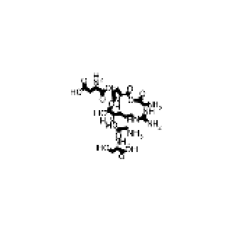 N=C(N)NCCC[C@H](N)C(=O)O.NCC(=O)O.NCC(=O)OC(=O)[C@@H]1CCCN1.N[C@@H](CC(=O)O)C(=O)O.N[C@@H](CO)C(=O)O